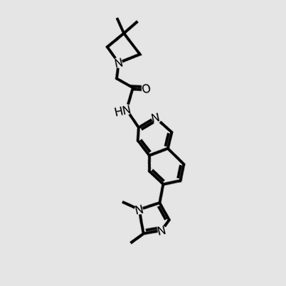 Cc1ncc(-c2ccc3cnc(NC(=O)CN4CC(C)(C)C4)cc3c2)n1C